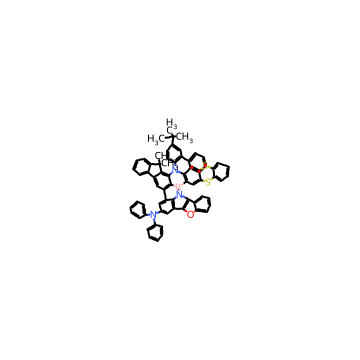 CC(C)(C)c1ccc(N2c3cc4c(cc3B3c5c(cc6c(c52)C(C)(C)c2ccccc2-6)-c2cc(N(c5ccccc5)c5ccccc5)cc5c6oc7ccccc7c6n3c25)Sc2ccccc2S4)c(-c2ccccc2)c1